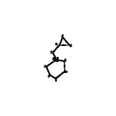 [CH]1CCCN(CC2CC2)C1